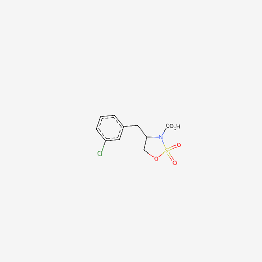 O=C(O)N1C(Cc2cccc(Cl)c2)COS1(=O)=O